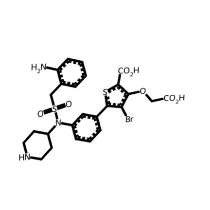 Nc1ccccc1CS(=O)(=O)N(c1cccc(-c2sc(C(=O)O)c(OCC(=O)O)c2Br)c1)C1CCNCC1